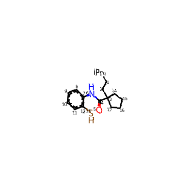 CC(C)CCC1(C(=O)Nc2ccccc2S)CCCC1